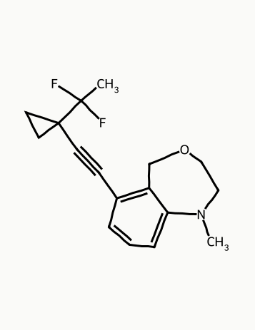 CN1CCOCc2c(C#CC3(C(C)(F)F)CC3)cccc21